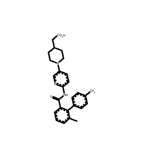 Cc1cccc(C(=O)Nc2ccc(N3CCC(CC(=O)O)CC3)cn2)c1-c1ccc(C(F)(F)F)cc1